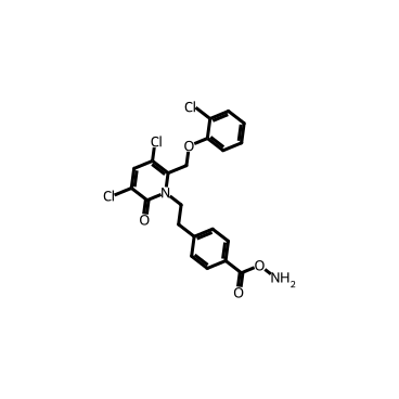 NOC(=O)c1ccc(CCn2c(COc3ccccc3Cl)c(Cl)cc(Cl)c2=O)cc1